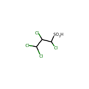 O=S(=O)(O)C(Cl)C(Cl)C(Cl)Cl